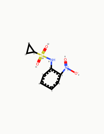 O=[N+]([O-])c1ccccc1NS(=O)(=O)C1CC1